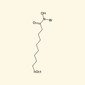 CCCCCCCCCCCCCCCCC(=O)N(O)Br